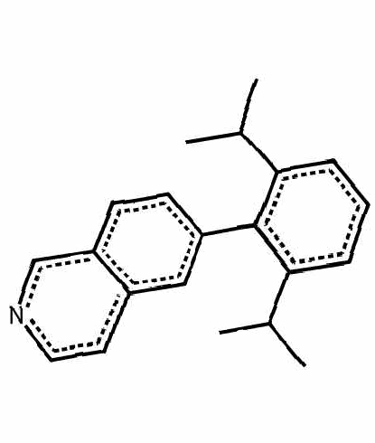 CC(C)c1cccc(C(C)C)c1-c1ccc2cnccc2c1